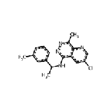 Cc1nnc(NC(C)c2cccc(C(F)(F)F)c2)c2cc(Cl)cnc12